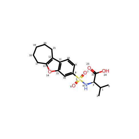 CC(C)[C@@H](NS(=O)(=O)c1ccc2c3c(oc2c1)CCCCC3)C(=O)O